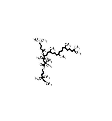 CCCC(C)(C)/C=C/COC(=O)C(C)(N)CC(C)(C)C(CCC(C)CCCC(C)CCCC(C)CCCC(C)C)OC(=O)CCCN(C)C